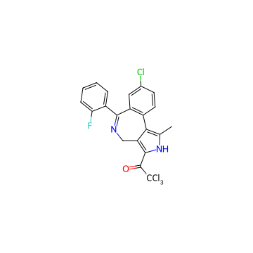 Cc1[nH]c(C(=O)C(Cl)(Cl)Cl)c2c1-c1ccc(Cl)cc1C(c1ccccc1F)=NC2